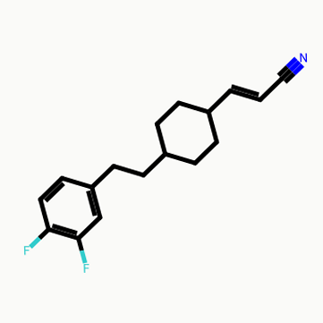 N#CC=CC1CCC(CCc2ccc(F)c(F)c2)CC1